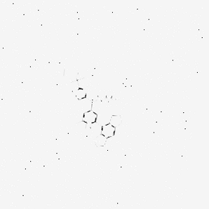 CNC(c1cc(C)nc(-c2c3c(cc4c2CCC4)CCC3)c1)c1cnc(C(C)(C)O)s1